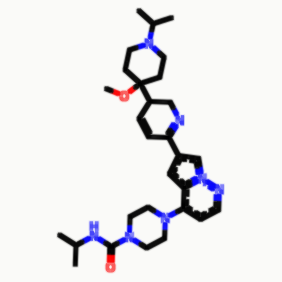 COC1(C2C=CC(c3cc4c(N5CCN(C(=O)NC(C)C)CC5)ccnn4c3)=NC2)CCN(C(C)C)CC1